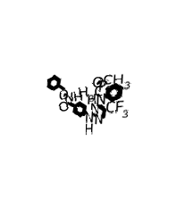 CP(C)(=O)c1ccccc1Nc1nc(Nc2ccc(C(=O)NOCc3ccccc3)cc2)ncc1C(F)(F)F